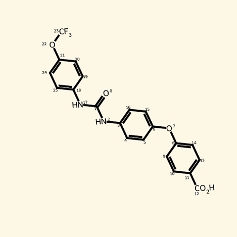 O=C(Nc1ccc(Oc2ccc(C(=O)O)cc2)cc1)Nc1ccc(OC(F)(F)F)cc1